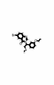 CCOc1cccc(C(CSC)n2cnc3ccc(Br)cc3c2=O)c1